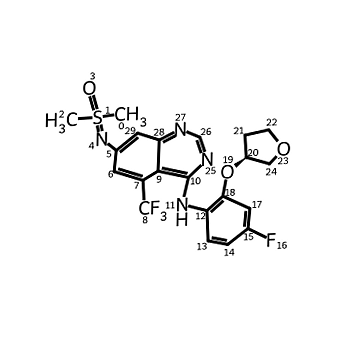 CS(C)(=O)=Nc1cc(C(F)(F)F)c2c(Nc3ccc(F)cc3O[C@H]3CCOC3)ncnc2c1